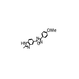 COc1ccc(-c2noc(-c3ccc4[nH]c(C)nc4c3)n2)cc1